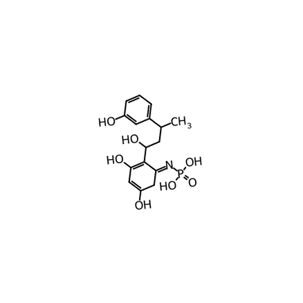 CC(CC(O)C1=C(O)C=C(O)CC1=NP(=O)(O)O)c1cccc(O)c1